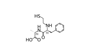 C[C@H](NC(=O)[C@H](Cc1ccccc1)NCCS)C(=O)O